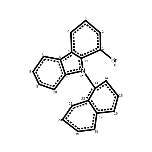 Brc1cccc2c3ccccc3n(-c3cccc4ccccc34)c12